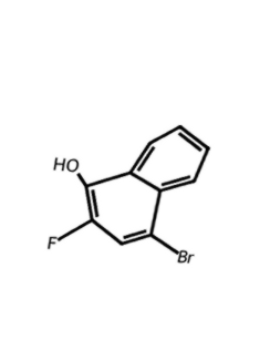 Oc1c(F)cc(Br)c2ccccc12